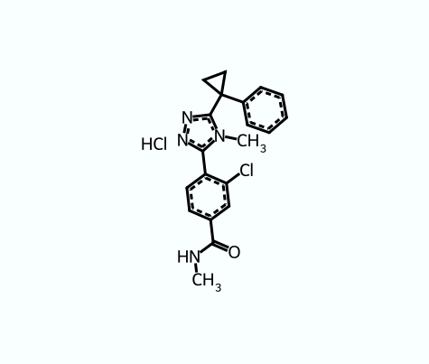 CNC(=O)c1ccc(-c2nnc(C3(c4ccccc4)CC3)n2C)c(Cl)c1.Cl